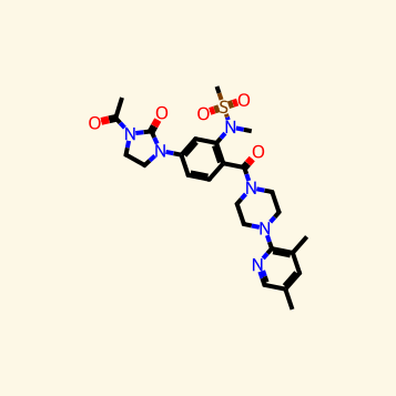 CC(=O)N1CCN(c2ccc(C(=O)N3CCN(c4ncc(C)cc4C)CC3)c(N(C)S(C)(=O)=O)c2)C1=O